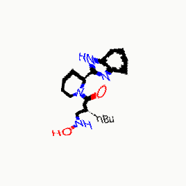 CCCC[C@H](CNO)C(=O)N1CCCC[C@H]1c1nc2ccccc2[nH]1